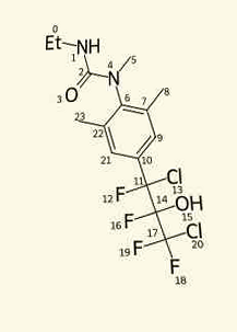 CCNC(=O)N(C)c1c(C)cc(C(F)(Cl)C(O)(F)C(F)(F)Cl)cc1C